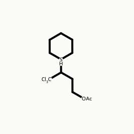 CC(=O)OCCC([SH]1CCCCC1)C(Cl)(Cl)Cl